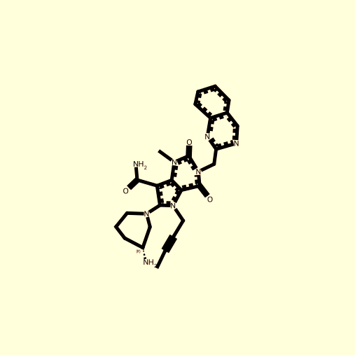 CC#CCn1c(N2CCC[C@@H](N)C2)c(C(N)=O)c2c1c(=O)n(Cc1ncc3ccccc3n1)c(=O)n2C